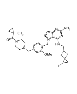 COc1cc(CN2CCN(C(=O)C3(C)CC3)CC2)ccc1Cn1ncc2nc(N)nc(NCC3CC4(C3)CC4F)c21